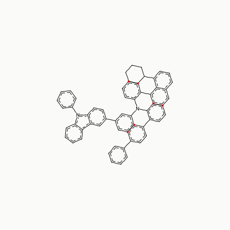 c1ccc(-c2ccc(-c3ccccc3N(c3cccc(-c4ccc5c(c4)c4ccccc4n5-c4ccccc4)c3)c3ccccc3-c3cccc4cccc(C5CCCCC5)c34)cc2)cc1